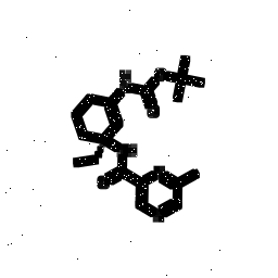 CC[C@@]1(NC(=O)c2cncc(C)n2)C=C(NC(=O)OC(C)(C)C)CCC1